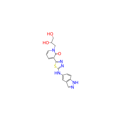 O=c1c(-c2nnc(Nc3ccc4[nH]ncc4c3)s2)cccn1CC(O)CO